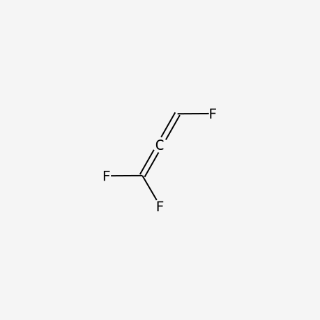 FC=C=C(F)F